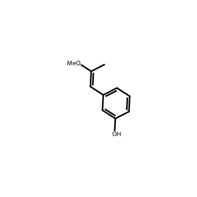 COC(C)=Cc1cccc(O)c1